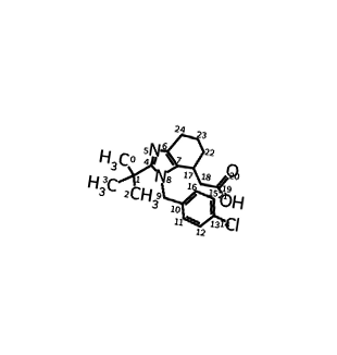 CC(C)(C)c1nc2c(n1Cc1ccc(Cl)cc1)C(CC(=O)O)CCC2